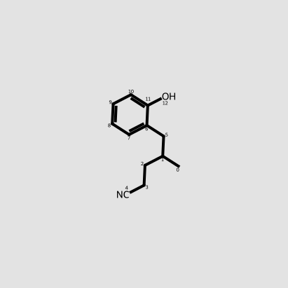 CC(CCC#N)Cc1ccccc1O